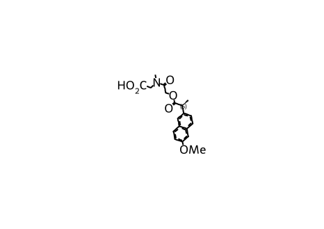 COc1ccc2cc([C@H](C)C(=O)OCC(=O)N(C)CC(=O)O)ccc2c1